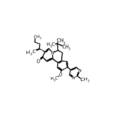 C=C(CCC)c1cn2c(cc1=O)-c1cc(OC)c(-c3cnc(C)nc3)cc1CC2C(C)(C)C